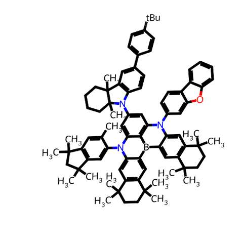 Cc1cc2c(cc1N1c3cc4c(cc3B3c5cc6c(cc5N(c5ccc7c(c5)oc5ccccc57)c5cc(N7c8ccc(-c9ccc(C(C)(C)C)cc9)cc8C8(C)CCCCC78C)cc1c53)C(C)(C)CCC6(C)C)C(C)(C)CCC4(C)C)C(C)(C)CC2(C)C